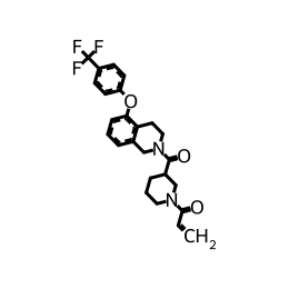 C=CC(=O)N1CCCC(C(=O)N2CCc3c(cccc3Oc3ccc(C(F)(F)F)cc3)C2)C1